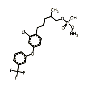 CC(CCCc1ccc(Oc2cccc(C(F)(F)F)c2)cc1Cl)COP(=O)(O)ON